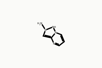 NN1C=C2N=CC=CN2N1